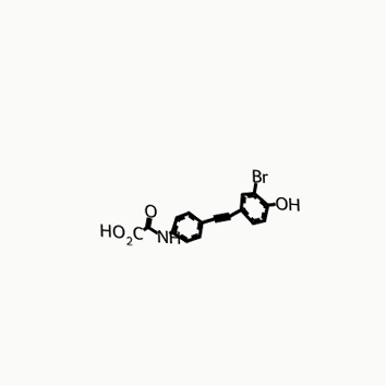 O=C(O)C(=O)Nc1ccc(C#Cc2ccc(O)c(Br)c2)cc1